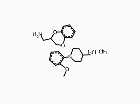 COc1ccccc1N1CCC(C)CC1.Cl.Cl.NCC1COc2ccccc2O1